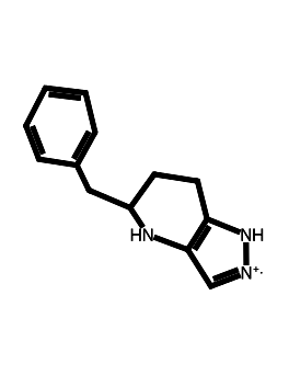 C1=[N+]NC2=C1NC(Cc1ccccc1)CC2